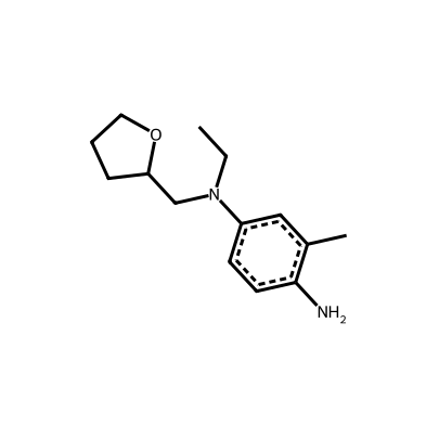 CCN(CC1CCCO1)c1ccc(N)c(C)c1